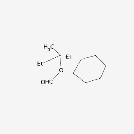 C1CCCCC1.CCC(C)(CC)OC=O